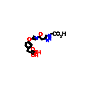 O=C(O)Cn1cc(CC(=O)N2CC(Oc3ccc4c(c3)O[B-](O)(O)CC4)C2)nn1